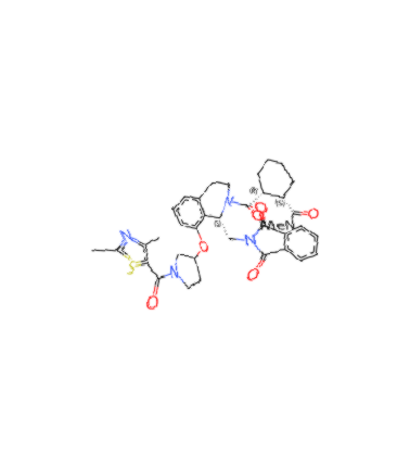 CNC(=O)[C@H]1CCCC[C@H]1C(=O)N1CCc2cccc(OC3CCN(C(=O)c4sc(C)nc4C)C3)c2[C@H]1CN1C(=O)c2ccccc2C1=O